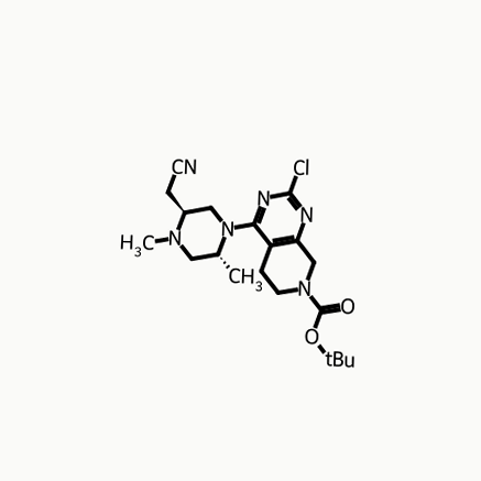 C[C@@H]1CN(C)[C@@H](CC#N)CN1c1nc(Cl)nc2c1CCN(C(=O)OC(C)(C)C)C2